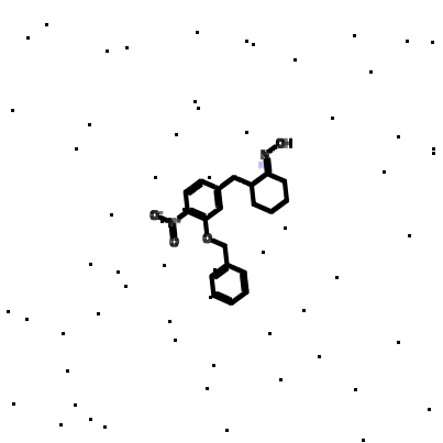 O=[N+]([O-])c1ccc(CC2CCCC/C2=N\O)cc1OCc1ccccc1